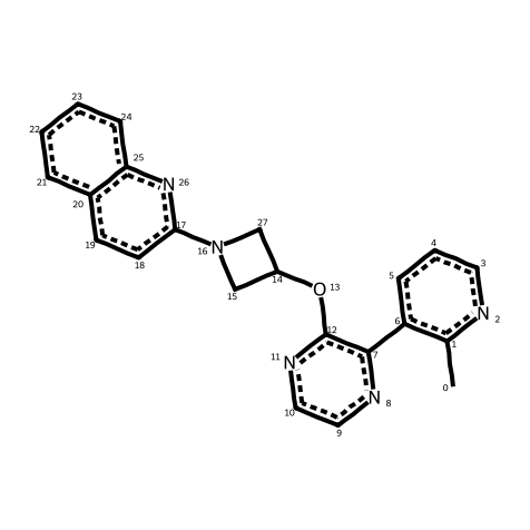 Cc1ncccc1-c1nccnc1OC1CN(c2ccc3ccccc3n2)C1